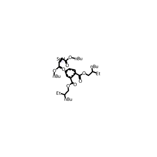 CCCCC(CC)COC(=O)c1ccccc1C(=O)OCC(CC)CCCC.CCCCOC(=O)/C=C\C(=O)OCCCC.[SnH2]